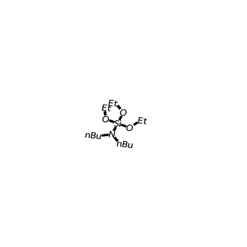 CCCCN(CCCC)[Si](OCC)(OCC)OCC